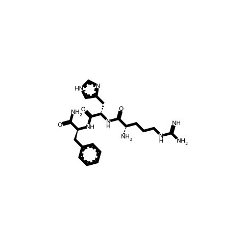 N=C(N)NCCC[C@H](N)C(=O)N[C@@H](Cc1c[nH]cn1)C(=O)N[C@@H](Cc1ccccc1)C(N)=O